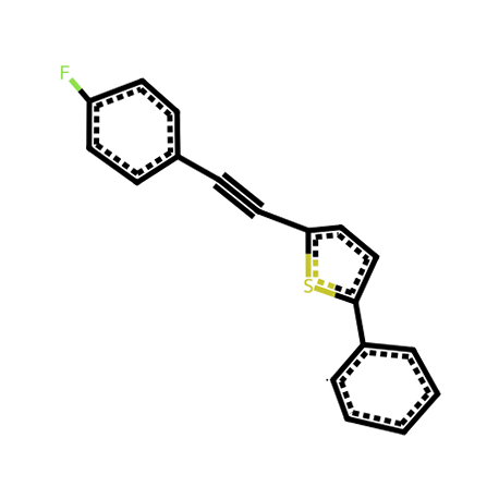 Fc1ccc(C#Cc2ccc(-c3[c]cccc3)s2)cc1